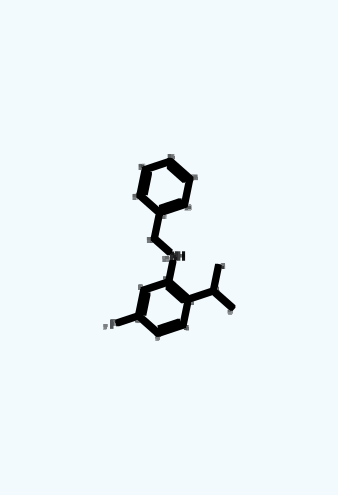 CC(C)c1ccc(F)cc1NCc1ccccc1